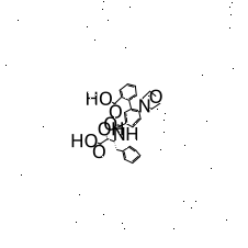 O=C(N[C@H](Cc1ccccc1)[C@@H](O)C(=O)O)c1ccc(N2CCOCC2)c(-c2ccccc2C(=O)O)c1